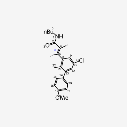 CCCCNC(=O)/C(C)=C(\C)c1cc(Cl)cc(-c2ccc(OC)cc2)c1C